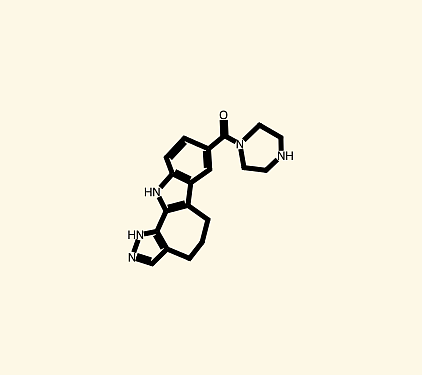 O=C(c1ccc2[nH]c3c(c2c1)CCCc1cn[nH]c1-3)N1CCNCC1